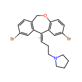 Brc1ccc2c(c1)/C(=C/CCN1CCCC1)c1cc(Br)ccc1OC2